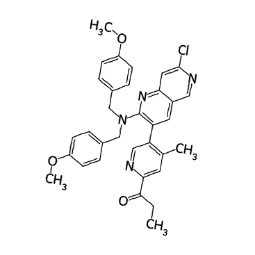 CCC(=O)c1cc(C)c(-c2cc3cnc(Cl)cc3nc2N(Cc2ccc(OC)cc2)Cc2ccc(OC)cc2)cn1